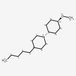 CCCCCC1CCN([C@H]2CC[C@H](OC)CC2)CC1